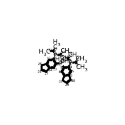 CC(C)P(c1cc2c(cc1P(C)c1cc3c(cc1P(C(C)C)C(C)C)CC=C3)CC=C2)C(C)C